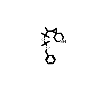 CC(C1CC12CCNCC2)C(C)(C)OC(C)(C)OCc1ccccc1